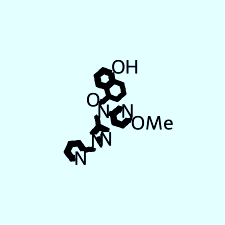 COc1ccc(N(Cc2cnn(Cc3ccccn3)c2)C(=O)C2CCCc3c(O)cccc32)cn1